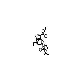 CCOC(=O)c1cnn2c(CC)cc(N3CCN(C(C)C)C3=O)nc12